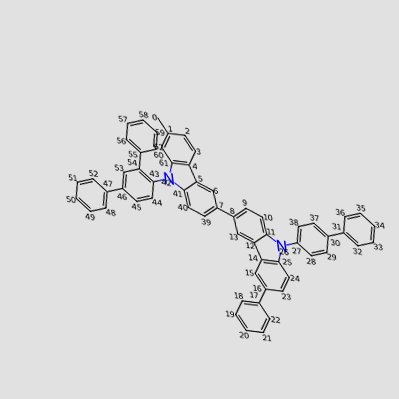 Cc1ccc2c3cc(-c4ccc5c(c4)c4cc(-c6ccccc6)ccc4n5-c4ccc(-c5ccccc5)cc4)ccc3n(-c3ccc(-c4ccccc4)cc3-c3ccccc3)c2c1